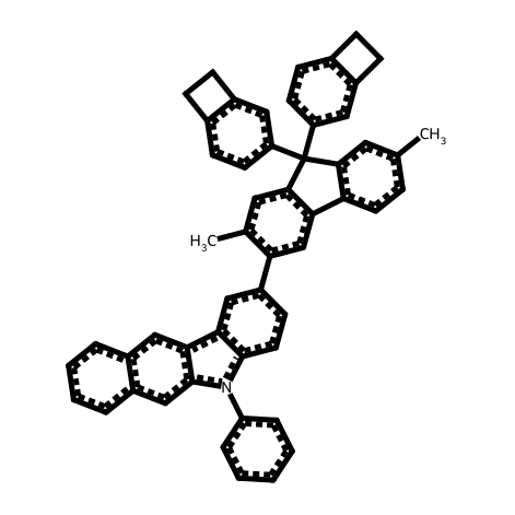 Cc1ccc2c(c1)C(c1ccc3c(c1)CC3)(c1ccc3c(c1)CC3)c1cc(C)c(-c3ccc4c(c3)c3cc5ccccc5cc3n4-c3ccccc3)cc1-2